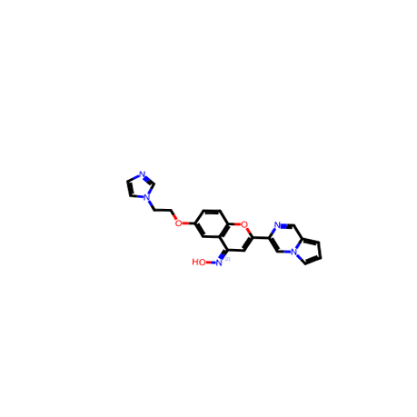 O/N=c1/cc(-c2cn3cccc3cn2)oc2ccc(OCCn3ccnc3)cc12